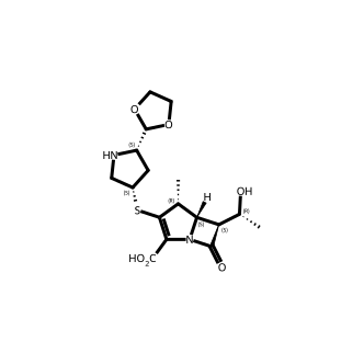 C[C@@H](O)[C@H]1C(=O)N2C(C(=O)O)=C(S[C@@H]3CN[C@H](C4OCCO4)C3)[C@H](C)[C@H]12